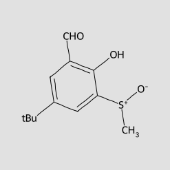 C[S+]([O-])c1cc(C(C)(C)C)cc(C=O)c1O